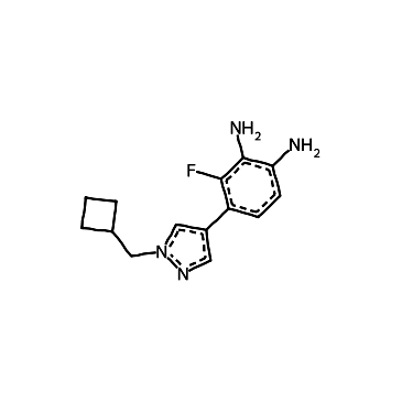 Nc1ccc(-c2cnn(CC3CCC3)c2)c(F)c1N